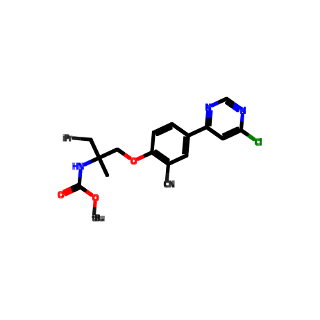 CC(C)CC(C)(COc1ccc(-c2cc(Cl)ncn2)cc1C#N)NC(=O)OC(C)(C)C